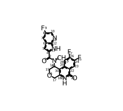 CN(C(=O)c1cc2cc(F)cnc2[nH]1)[C@@H]1COCc2[nH]c(=O)c3cc(F)c(F)cc3c21